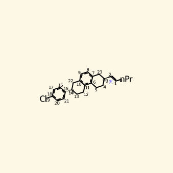 CCC/C=C/[C@H]1CCc2c(ccc3c2CC[C@H](c2ccc(Cl)cc2)C3)C1